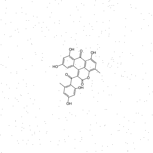 Cc1cc(O)cc(O)c1C(=O)c1c2c3c(c(O)cc(C)c3oc1=O)C(=O)c1c(O)cc(O)cc1-2